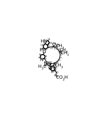 CC1=C2NC(c3cc(ccn3)Oc3c(F)cc4[nH]ccc4c3CC(=O)N(C)CC(C)(C)CCCC[C@]2(C)c2cccc(CCC(=O)O)c2)N1C